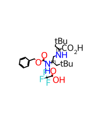 CC(C)(C)C[C@H](CN[C@@H](CC(C)(C)C)C(=O)O)NC(=O)OCc1ccccc1.O=C(O)C(F)(F)F